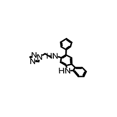 c1ccc(-c2cc3c(cc2NCCn2cncn2)[nH]c2ccccc23)cc1